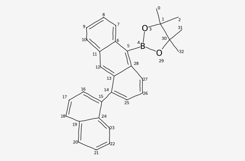 CC1(C)OB(c2c3ccccc3cc3c(-c4cccc5ccccc45)cccc23)OC1(C)C